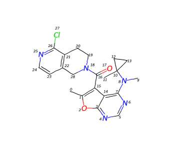 Cc1oc2ncnc(N(C)C3(C)CC3)c2c1C(=O)N1CCc2c(ccnc2Cl)C1